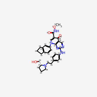 CONC(=O)c1cn(-c2ccc3c(c2)CCC3)c2nc(Nc3ccc(CCN4CCC[C@@H]4CO)cc3)ncc2c1=O